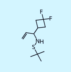 C=CC(NSC(C)(C)C)C1CC(F)(F)C1